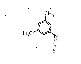 Cc1[c]c(C)cc(N=C=S)c1